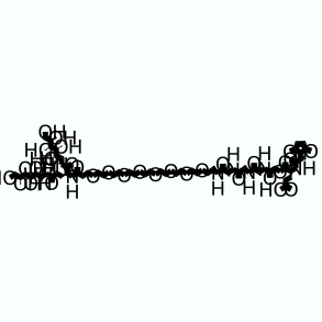 O=C(O)CC[C@H](NC(=O)CN1C(=O)C=CC1=O)C(=O)OCC(=O)NCC(=O)NCC(=O)NCC(=O)NCCOCCOCCOCCOCCOCCOCCOCCOCCC(=O)N[C@@H](CCC(=O)NC[C@H](O)[C@@H](O)[C@H](O)[C@H](O)CO)C(=O)NC[C@H](O)[C@@H](O)[C@H](O)[C@H](O)CO